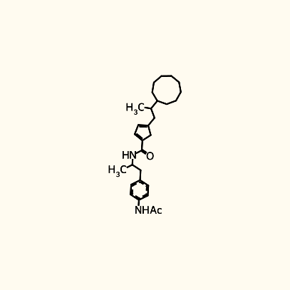 CC(=O)Nc1ccc(CC(C)NC(=O)C2=CC=C(CC(C)C3CCCCCCCC3)C2)cc1